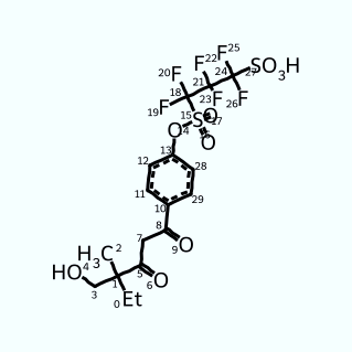 CCC(C)(CO)C(=O)CC(=O)c1ccc(OS(=O)(=O)C(F)(F)C(F)(F)C(F)(F)S(=O)(=O)O)cc1